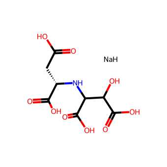 O=C(O)C[C@H](NC(C(=O)O)C(O)C(=O)O)C(=O)O.[NaH]